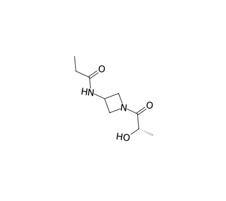 CCC(=O)NC1CN(C(=O)[C@H](C)O)C1